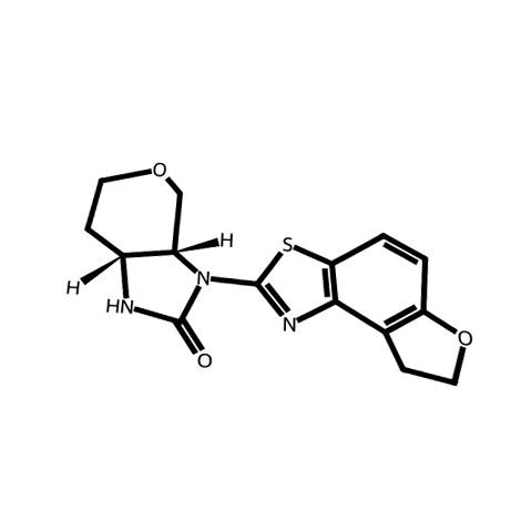 O=C1N[C@@H]2CCOC[C@@H]2N1c1nc2c3c(ccc2s1)OCC3